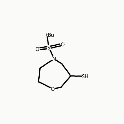 CC(C)(C)S(=O)(=O)N1CCOCC(S)C1